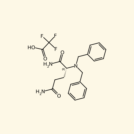 NC(=O)CC[C@H](C(N)=O)N(Cc1ccccc1)Cc1ccccc1.O=C(O)C(F)(F)F